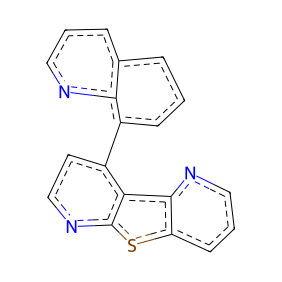 c1cnc2c(-c3ccnc4sc5cccnc5c34)cccc2c1